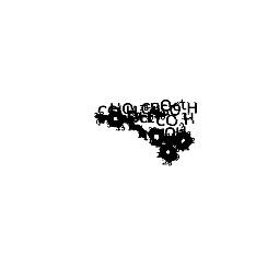 CC(C)(C(=O)O)c1ccc(C(O)CCCN2CCC(C(O)(c3ccccc3)c3ccccc3)CC2)cc1.CCCCCCCCC(CCCCCCCC)(C(=O)O)C(C(=O)O)S(=O)(=O)O